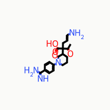 CC(=O)C(CC=CN)(C(=O)O)C1CCCN(c2ccc(C(=N)N)cc2)C1=O